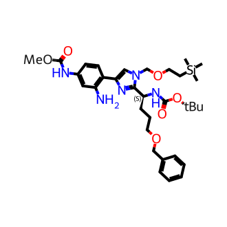 COC(=O)Nc1ccc(-c2cn(COCC[Si](C)(C)C)c([C@H](CCCOCc3ccccc3)NC(=O)OC(C)(C)C)n2)c(N)c1